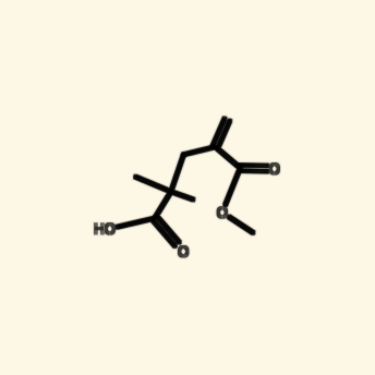 C=C(CC(C)(C)C(=O)O)C(=O)OC